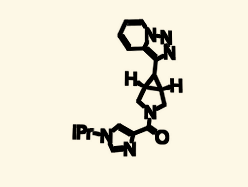 CC(C)n1cnc(C(=O)N2C[C@@H]3C(c4nnn5ccccc45)[C@@H]3C2)c1